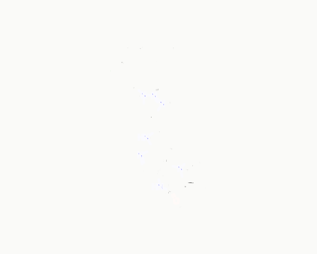 Cc1nc(NCc2cn(Cc3cc(F)ccc3Cl)nn2)cc2c1NC(=O)[C@H](C)N2C